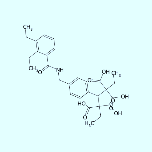 CCc1cccc(C(=O)NCc2ccc(C(C(CC)(C(=O)O)C(=O)O)C(CC)(C(=O)O)C(=O)O)cc2)c1CC